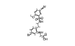 COc1ccc(C#N)cc1S(=O)(=O)NCCc1ccc(Br)cc1NCC(=O)O